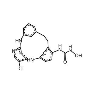 O=C(NO)Nc1ccc2cc1CCc1cccc(c1)Nc1ncc(Cl)c(n1)N2